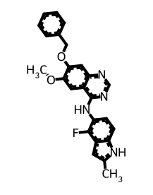 COc1cc2c(Nc3ccc4[nH]c(C)cc4c3F)ncnc2cc1OCc1ccccc1